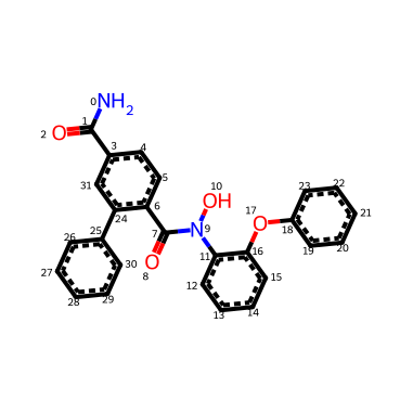 NC(=O)c1ccc(C(=O)N(O)c2ccccc2Oc2ccccc2)c(-c2ccccc2)c1